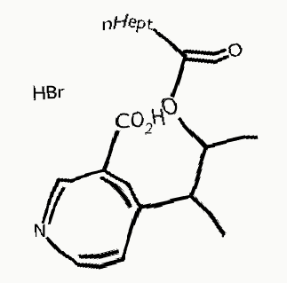 Br.CCCCCCCC(=O)OC(C)C(C)c1ccncc1C(=O)O